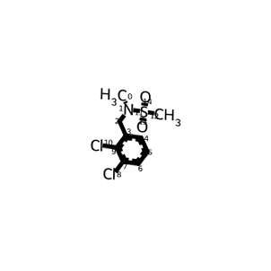 CN(Cc1cccc(Cl)c1Cl)S(C)(=O)=O